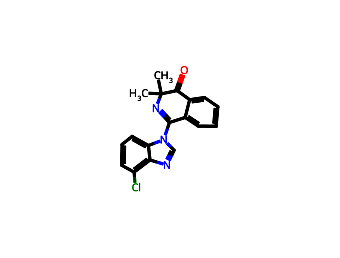 CC1(C)N=C(n2cnc3c(Cl)cccc32)c2ccccc2C1=O